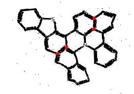 c1ccc(-c2ccccc2N(c2ccccc2-c2cccc3c2sc2ccccc23)c2cccc3ccccc23)cc1